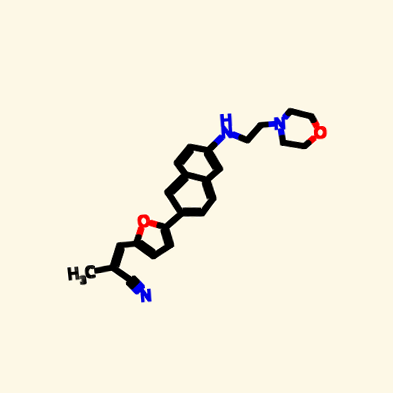 C/C(C#N)=C/c1ccc(-c2ccc3cc(NCCN4CCOCC4)ccc3c2)o1